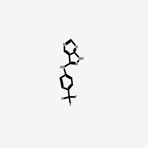 FC(F)(F)c1ccc(Nc2n[nH]c3ncncc23)cc1